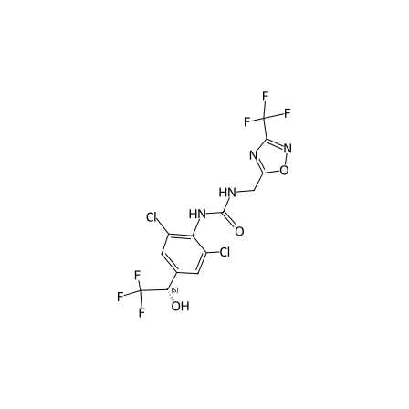 O=C(NCc1nc(C(F)(F)F)no1)Nc1c(Cl)cc([C@H](O)C(F)(F)F)cc1Cl